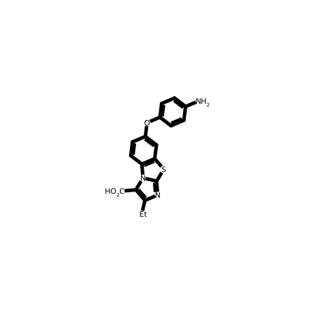 CCc1nc2sc3cc(Oc4ccc(N)cc4)ccc3n2c1C(=O)O